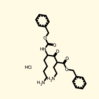 Cl.NCCCCC(NC(=O)OCc1ccccc1)C(=O)C(CCN)C(=O)OCc1ccccc1